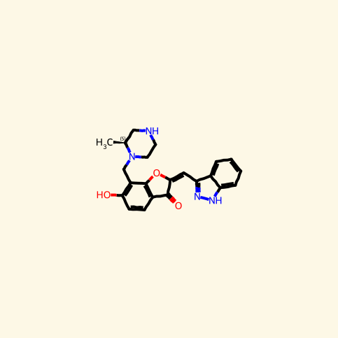 C[C@H]1CNCCN1Cc1c(O)ccc2c1OC(=Cc1n[nH]c3ccccc13)C2=O